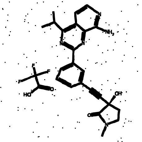 CC(C)c1nc(-c2cccc(C#C[C@]3(O)CCN(C)C3=O)c2)nc2c(N)nccc12.O=C(O)C(F)(F)F